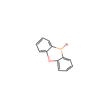 BrP1c2ccccc2Oc2ccccc21